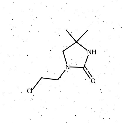 CC1(C)CN(CCCl)C(=O)N1